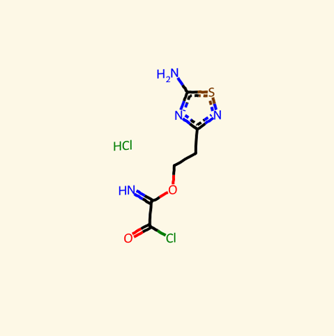 Cl.N=C(OCCc1nsc(N)n1)C(=O)Cl